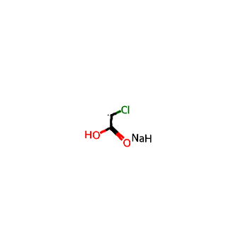 O=C(O)[CH]Cl.[NaH]